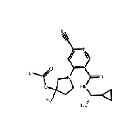 C[C@H](NC(=O)c1cnc(C#N)cc1N1CC[C@](C)(OC(N)=O)C1)C1CC1